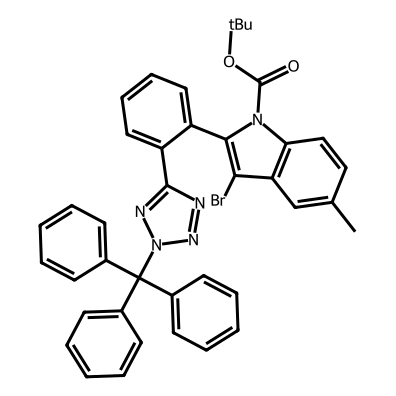 Cc1ccc2c(c1)c(Br)c(-c1ccccc1-c1nnn(C(c3ccccc3)(c3ccccc3)c3ccccc3)n1)n2C(=O)OC(C)(C)C